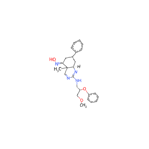 COCC(CNC1=N[C@@H]2CC(c3ccccc3)C/C(=N\O)C2(C)C=N1)Oc1ccccc1